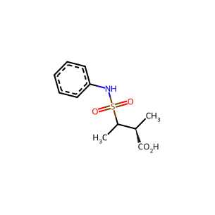 CC([C@@H](C)C(=O)O)S(=O)(=O)Nc1ccccc1